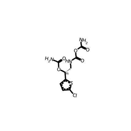 NC(=O)OC(=O)NC[C@@H](OC(N)=O)c1ccc(Cl)s1